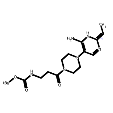 C/C=C1/N=CC(N2CCN(C(=O)CCNC(=O)OC(C)(C)C)CC2)=C(N)N1